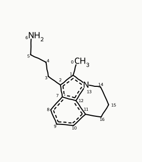 Cc1c(CCCN)c2cccc3c2n1CCC3